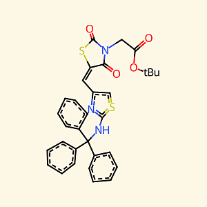 CC(C)(C)OC(=O)CN1C(=O)SC(=Cc2csc(NC(c3ccccc3)(c3ccccc3)c3ccccc3)n2)C1=O